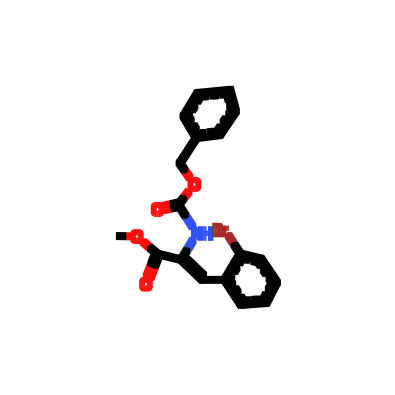 COC(=O)C(=Cc1ccccc1Br)NC(=O)OCc1ccccc1